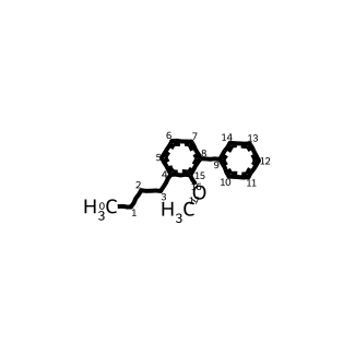 CCCCc1cccc(-c2ccccc2)c1OC